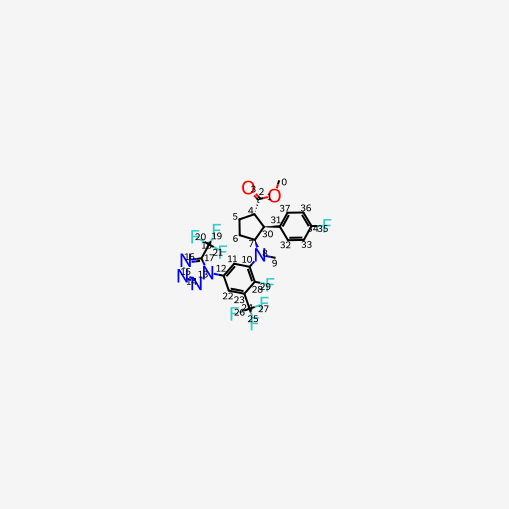 COC(=O)[C@H]1CC[C@H](N(C)c2cc(-n3nnnc3C(F)(F)F)cc(C(F)(F)F)c2F)[C@@H]1c1ccc(F)cc1